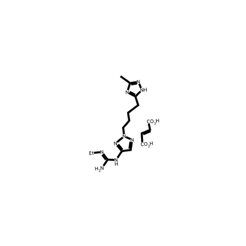 CCN=C(N)Nc1cnn(CCCCc2nc(C)n[nH]2)n1.O=C(O)C=CC(=O)O